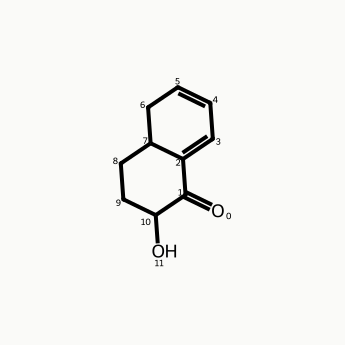 O=C1C2=CC=CCC2CCC1O